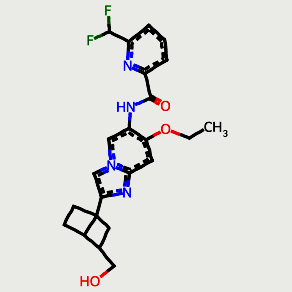 CCOc1cc2nc(C34CCC3C(CO)C4)cn2cc1NC(=O)c1cccc(C(F)F)n1